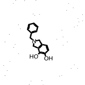 Oc1ccc2c(c1O)CN(Cc1ccccc1)C2